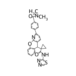 CN(C)C(=O)c1ccc(-c2ccc3c(n2)Oc2ccccc2C3C2(C(=O)Nc3nncs3)CC2)cc1